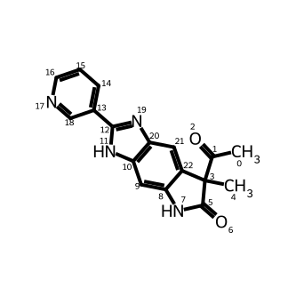 CC(=O)C1(C)C(=O)Nc2cc3[nH]c(-c4cccnc4)nc3cc21